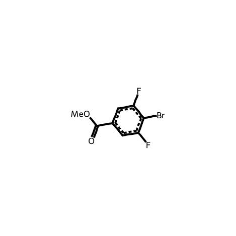 COC(=O)c1cc(F)c(Br)c(F)c1